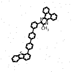 Cc1nc2c3ccccc3c3ccccc3c2nc1-c1cccc(-c2ccc(-c3ccc(-c4cccc5c4sc4ccccc45)cc3)cc2)c1